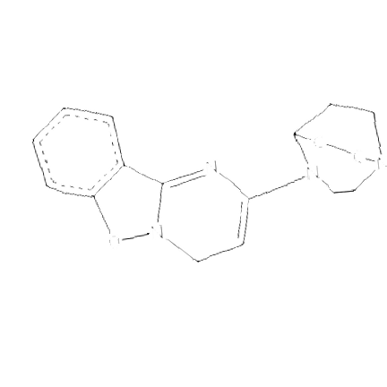 C1=C(N2CCN3CCC2CC3)N=C2c3ccccc3ON2C1